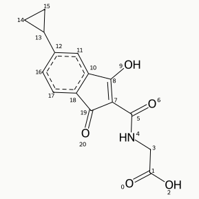 O=C(O)CNC(=O)C1=C(O)c2cc(C3CC3)ccc2C1=O